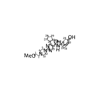 COCCN1CCN(c2ncc(C(=O)N[C@H]3C4CC5CC3C[C@](O)(C5)C4)c(C3CCCC3)n2)CC1